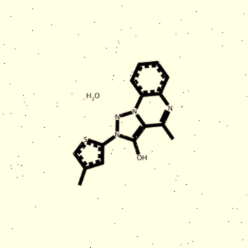 CC1=Nc2ccccc2N2[N]N(c3cc(C)cs3)C(O)=C12.O